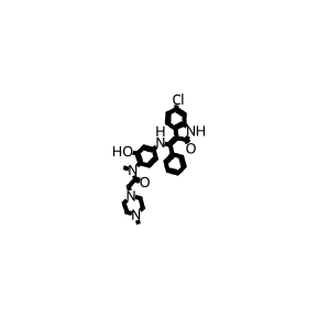 CN1CCN(CC(=O)N(C)c2ccc(NC(=C3C(=O)Nc4cc(Cl)ccc43)c3ccccc3)cc2O)CC1